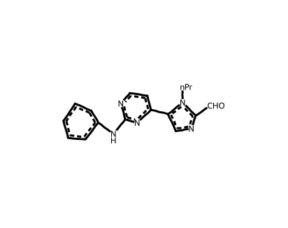 CCCn1c(-c2ccnc(Nc3ccccc3)n2)cnc1C=O